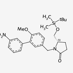 COc1ccc(CN2C(=O)CC[C@H]2CO[Si](C)(C)C(C)(C)C)cc1-c1cccc([N+](=O)[O-])c1